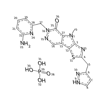 Cn1c2nc(Cc3cc[nH]n3)sc2c2cnn(Cc3cccc(N)n3)c(=O)c21.O=P(O)(O)O